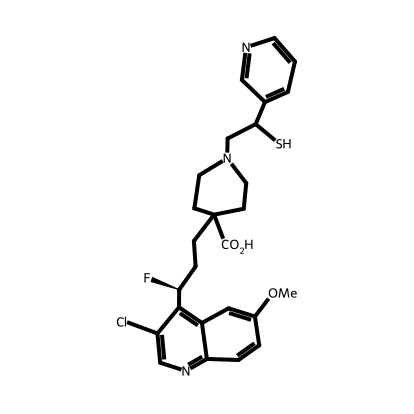 COc1ccc2ncc(Cl)c([C@@H](F)CCC3(C(=O)O)CCN(CC(S)c4cccnc4)CC3)c2c1